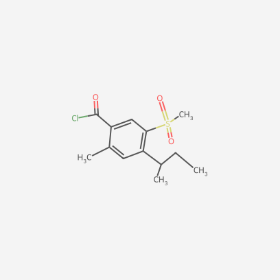 CCC(C)c1cc(C)c(C(=O)Cl)cc1S(C)(=O)=O